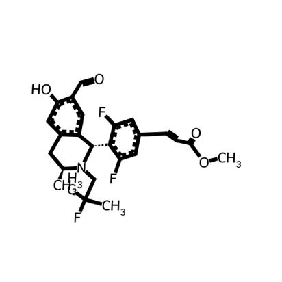 COC(=O)/C=C/c1cc(F)c([C@H]2c3cc(C=O)c(O)cc3C[C@H](C)N2CC(C)(C)F)c(F)c1